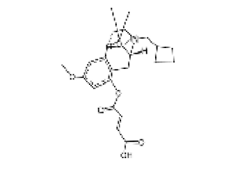 COc1cc(OC(=O)/C=C/C(=O)O)c2c(c1)[C@]13CCN(CC4CCC4)[C@H](C2)[C@@H]1OC(C)(C)OC3